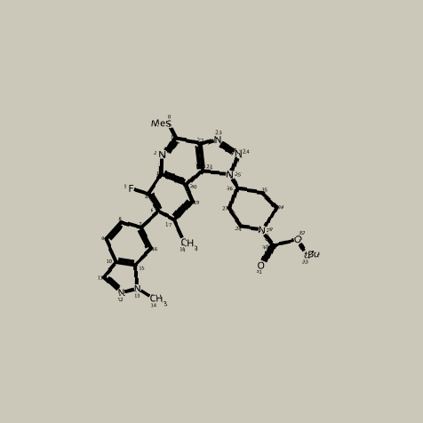 CSc1nc2c(F)c(-c3ccc4cnn(C)c4c3)c(C)cc2c2c1nnn2C1CCN(C(=O)OC(C)(C)C)CC1